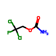 NC(=O)OCC(F)(Cl)Cl